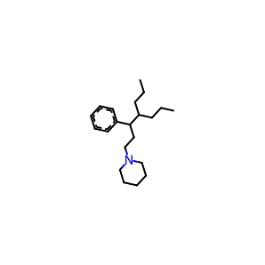 CCCC(CCC)C(CCN1CCCCC1)c1ccccc1